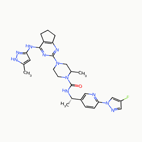 Cc1cc(Nc2nc(N3CCN(C(=O)N[C@@H](C)c4ccc(-n5cc(F)cn5)nc4)C(C)C3)nc3c2CCC3)n[nH]1